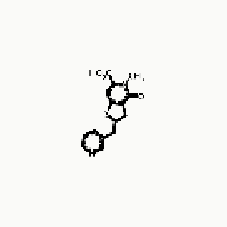 Cn1c(C(=O)O)cc2c(c1=O)CC(Cc1cccnc1)S2